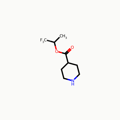 CC(OC(=O)C1CCNCC1)C(F)(F)F